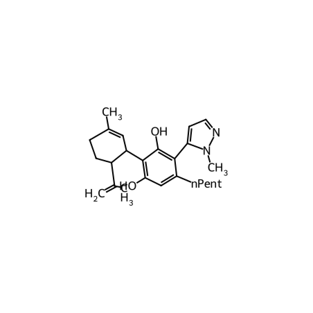 C=C(C)C1CCC(C)=CC1c1c(O)cc(CCCCC)c(-c2ccnn2C)c1O